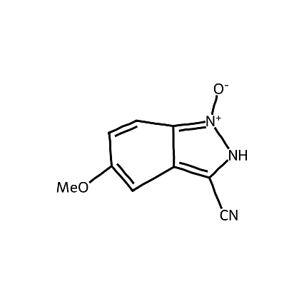 COc1ccc2c(c1)c(C#N)[nH][n+]2[O-]